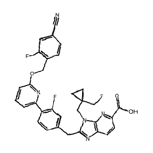 N#Cc1ccc(COc2cccc(-c3ccc(Cc4nc5ccc(C(=O)O)nc5n4CC4(CF)CC4)cc3F)n2)c(F)c1